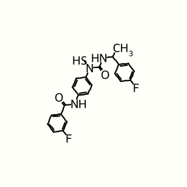 CC(NC(=O)N(S)c1ccc(NC(=O)c2cccc(F)c2)cc1)c1ccc(F)cc1